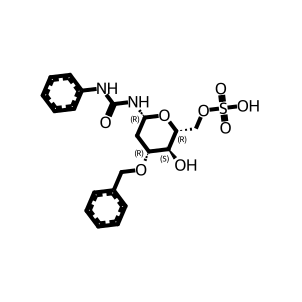 O=C(Nc1ccccc1)N[C@H]1C[C@@H](OCc2ccccc2)[C@H](O)[C@@H](COS(=O)(=O)O)O1